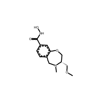 COC[C@H]1COc2cc(C(=O)NO)ccc2CN1C